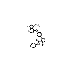 Cc1c[nH]c2nccc(Oc3ccc([C@H]4CCN[C@@H]4C(=O)NC4CCOCC4)cc3)c12